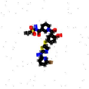 CS(=O)(=O)NC(=O)C1CCCN(C(=O)c2cc(Sc3cnc(Nc4cccc(Br)n4)s3)ccc2O)C1